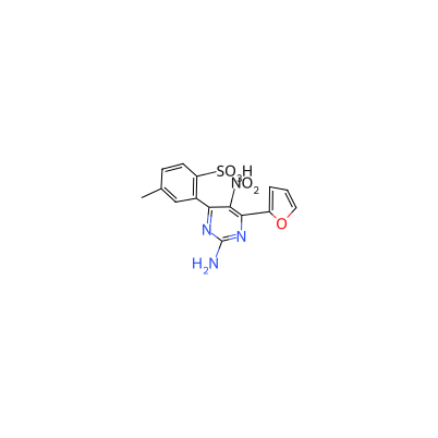 Cc1ccc(S(=O)(=O)O)c(-c2nc(N)nc(-c3ccco3)c2[N+](=O)[O-])c1